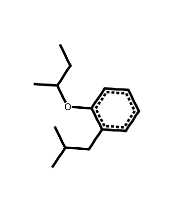 CCC(C)Oc1ccccc1CC(C)C